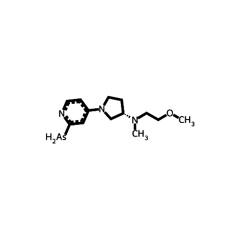 COCCN(C)[C@H]1CCN(c2ccnc([AsH2])c2)C1